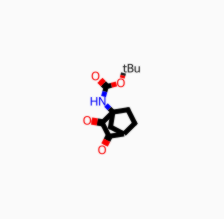 CC(C)(C)OC(=O)NC12CCC(C1)C(=O)C2=O